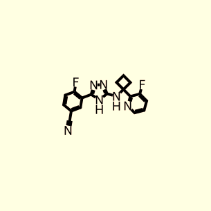 N#Cc1ccc(F)c(-c2nnc(NC3(c4ncccc4F)CCC3)[nH]2)c1